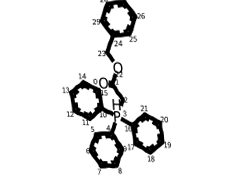 O=C(C[PH](c1ccccc1)(c1ccccc1)c1ccccc1)OCc1ccccc1